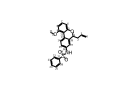 C=CCC1Oc2cccc(OC)c2-c2ccc(NS(=O)(=O)c3ccccc3)cc21